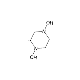 ON1[CH]CN(O)CC1